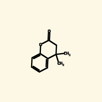 CC1(C)CC(=O)Oc2ccccc21